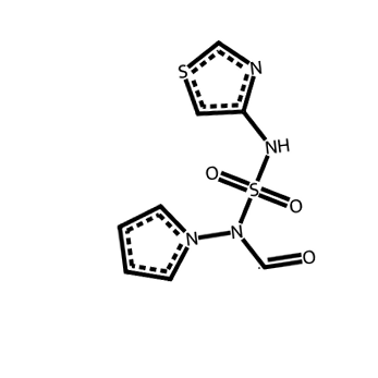 O=[C]N(n1cccc1)S(=O)(=O)Nc1cscn1